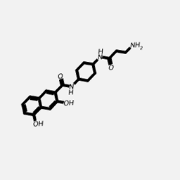 NCCC(=O)NC1CCC(NC(=O)c2cc3cccc(O)c3cc2O)CC1